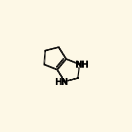 C1CC2=C(C1)NCN2